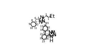 CCC=Cc1nc(Cc2ccccc2)nn1Cc1ccc(-c2ccccc2-c2nnn[nH]2)cc1